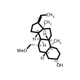 C/C=C1/CC[C@H]2[C@@H]3[C@@H](COC)C[C@H]4C[C@@H](O)CC[C@]4(C)[C@H]3CC[C@]12C